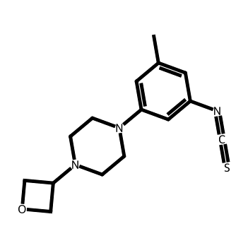 Cc1cc(N=C=S)cc(N2CCN(C3COC3)CC2)c1